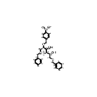 O=[N+]([O-])c1ccc(CO[C@H](COCc2ccccc2)[C@@H](O)[C@H](O)[C@H](O)COCc2ccccc2)cc1